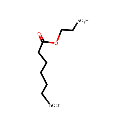 CCCCCCCCCCCCCC(=O)OCCS(=O)(=O)O